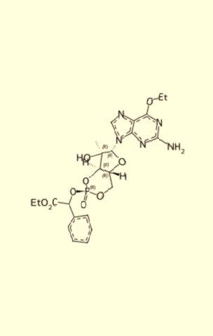 CCOC(=O)C(O[P@]1(=O)OC[C@H]2O[C@@H](n3cnc4c(OCC)nc(N)nc43)[C@](C)(O)[C@@H]2O1)c1ccccc1